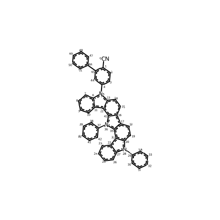 N#Cc1ccc(-n2c3ccccc3c3c2ccc2c4ccc5c(c6ccccc6n5-c5ccccc5)c4n(-c4ccccc4)c23)cc1-c1ccccc1